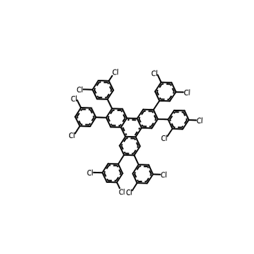 Clc1cc(Cl)cc(-c2cc3c4cc(-c5cc(Cl)cc(Cl)c5)c(-c5cc(Cl)cc(Cl)c5)cc4c4cc(-c5ccc(Cl)cc5Cl)c(-c5cc(Cl)cc(Cl)c5)cc4c3cc2-c2cc(Cl)cc(Cl)c2)c1